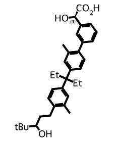 CCC(CC)(c1ccc(CCC(O)C(C)(C)C)c(C)c1)c1ccc(-c2cccc([C@@H](O)C(=O)O)c2)c(C)c1